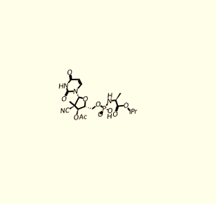 CC(=O)O[C@@H]1[C@@H](CO[P@@](=O)(O)N[C@@H](C)C(=O)OC(C)C)O[C@@H](n2ccc(=O)[nH]c2=O)[C@]1(C)C#N